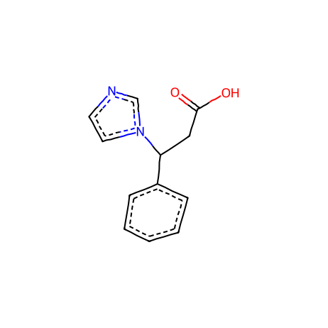 O=C(O)CC(c1ccccc1)n1ccnc1